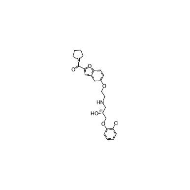 O=C(c1cc2cc(OCCNC[C@H](O)COc3ccccc3Cl)ccc2o1)N1CCCC1